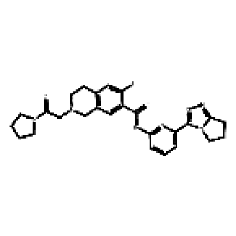 O=C(Nc1cccc(-c2nnc3n2CCC3)n1)c1cc2c(cc1F)CCN(CC(=O)N1CCCC1)C2